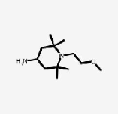 COCCN1C(C)(C)CC(N)CC1(C)C